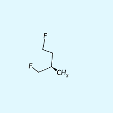 C[C@@H](CF)CCF